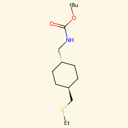 CCSC[C@H]1CC[C@H](CNC(=O)OC(C)(C)C)CC1